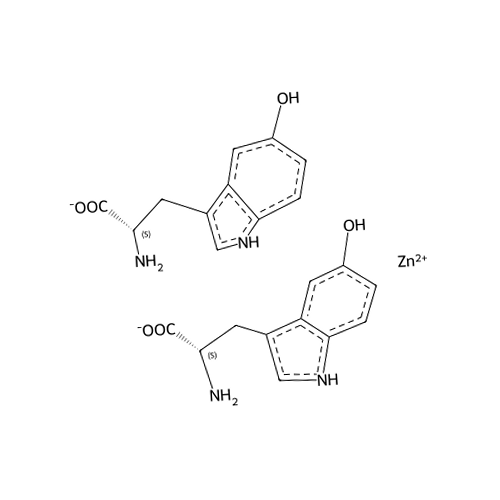 N[C@@H](Cc1c[nH]c2ccc(O)cc12)C(=O)[O-].N[C@@H](Cc1c[nH]c2ccc(O)cc12)C(=O)[O-].[Zn+2]